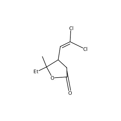 CCC1(C)OC(=O)CC1C=C(Cl)Cl